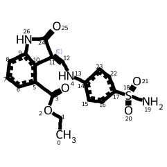 CCOC(=O)c1cccc2c1/C(=C\Nc1ccc(S(N)(=O)=O)cc1)C(=O)N2